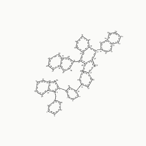 c1ccc(-n2c(-c3cccc(-c4ccc5nc6c(-c7ccc8ccccc8c7)c7ccccc7c(-c7ccc8ccccc8c7)c6n5c4)c3)nc3ccccc32)cc1